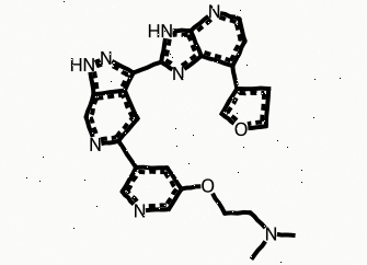 CN(C)CCOc1cncc(-c2cc3c(-c4nc5c(-c6ccoc6)ccnc5[nH]4)n[nH]c3cn2)c1